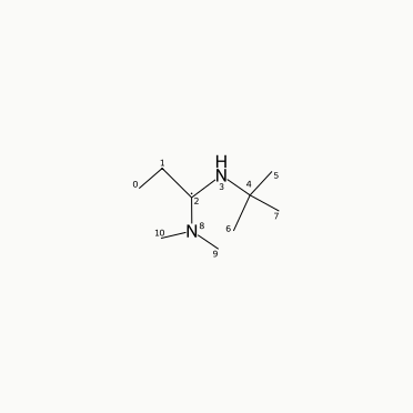 CC[C](NC(C)(C)C)N(C)C